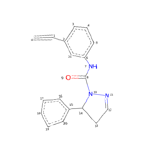 C#Cc1cccc(NC(=O)N2N=CCC2c2ccccc2)c1